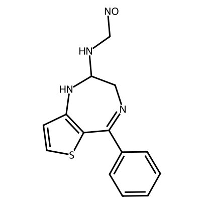 O=NCNC1CN=C(c2ccccc2)c2sccc2N1